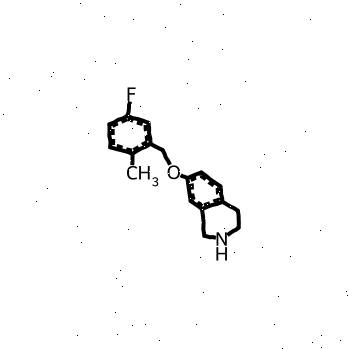 Cc1ccc(F)cc1COc1ccc2c(c1)CNCC2